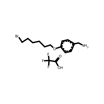 NCc1ccc(OCCCCCCBr)cc1.O=C(O)C(F)(F)F